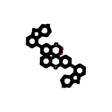 c1ccc2c(c1)Oc1cc(-c3cccc4sc5cnccc5c34)ccc1C21c2ccccc2Oc2cc(-c3cccc4sc5cnccc5c34)ccc21